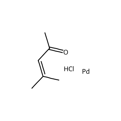 CC(=O)C=C(C)C.Cl.[Pd]